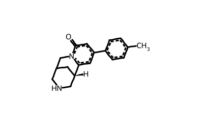 Cc1ccc(-c2cc3n(c(=O)c2)CC2CNC[C@@H]3C2)cc1